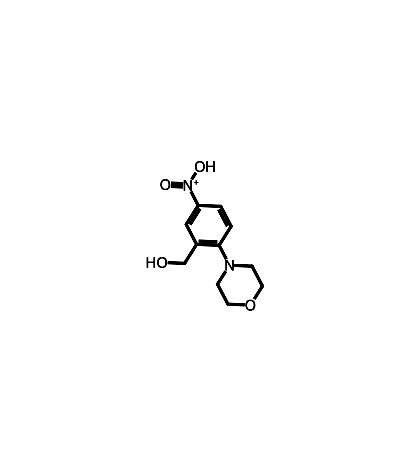 O=[N+](O)c1ccc(N2CCOCC2)c(CO)c1